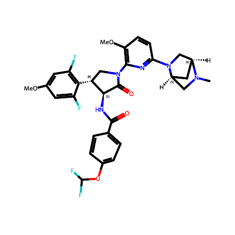 COc1cc(F)c([C@@H]2CN(c3nc(N4C[C@@H]5C[C@H]4CN5C)ccc3OC)C(=O)[C@H]2NC(=O)c2ccc(OC(F)F)cc2)c(F)c1